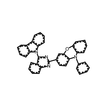 c1ccc(N2c3ccccc3Oc3cc(-c4nc(-n5c6ccccc6c6ccccc65)c5ccccc5n4)ccc32)cc1